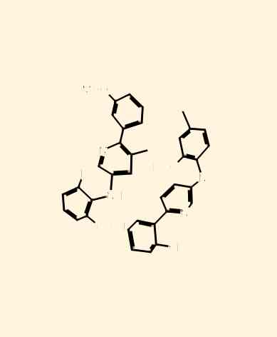 COc1cccc(-c2ncc(Nc3c(F)cccc3C(=O)O)cc2C)c1.Cc1ccc(Nc2ccc(-c3ccccc3Cl)nc2)c(C(=O)O)c1